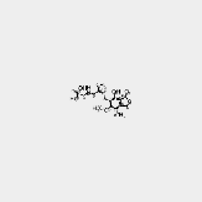 COc1c(C)c2c(c(O)c1CC=C(C)CNCP(=O)(O)O)C(=O)OC2